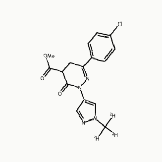 [2H]C([2H])([2H])n1cc(N2N=C(c3ccc(Cl)cc3)CC(C(=O)OC)C2=O)cn1